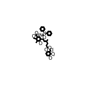 COc1ccc(OC(=O)CC/C(C)=C/Cc2c(NC(=O)N(c3ccccc3)c3ccccc3)c3c(c(C)c2OC)COC3=O)c(Cl)c1OC